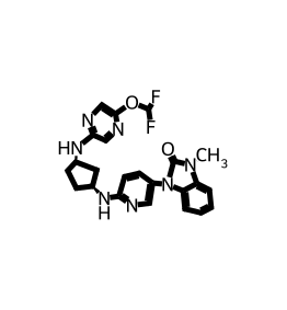 Cn1c(=O)n(-c2ccc(N[C@H]3CC[C@H](Nc4cnc(OC(F)F)cn4)C3)nc2)c2ccccc21